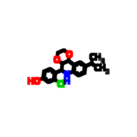 CC(C)c1ccc2c(c1)C1OCCOC1C(c1ccc(O)cc1Cl)N2